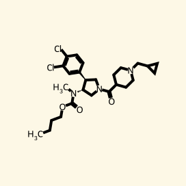 CCCCOC(=O)N(C)[C@H]1CN(C(=O)C2CCN(CC3CC3)CC2)C[C@@H]1c1ccc(Cl)c(Cl)c1